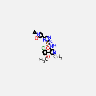 COc1ccc(Cl)cc1-c1cc(C)ncc1C(=O)Nc1nc2ncc(-c3ccn(C4CC4)c(=O)c3)nc2s1